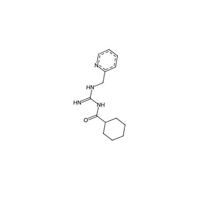 N=C(NCc1ccccn1)NC(=O)C1CCCCC1